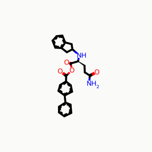 NC(=O)CC[C@H](NC1Cc2ccccc2C1)C(=O)OC(=O)c1ccc(-c2ccccc2)cc1